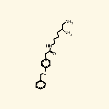 NC[C@@H](N)CCCCNC(=O)Cc1ccc(OCc2ccccc2)cc1